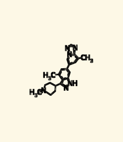 Cc1cc(-c2cc(C)c3ncnn3c2)cc2[nH]nc(C3CCN(C)CC3)c12